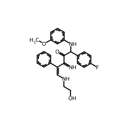 COc1cccc(NC(C(=O)C(=N)/C(=C\NCCO)c2ccccc2)c2ccc(F)cc2)c1